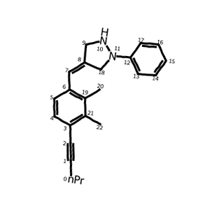 CCCC#Cc1ccc(C=C2CNN(c3ccccc3)C2)c(C)c1C